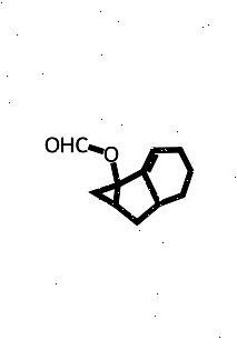 O=COC12CC1CC1CCCC=C12